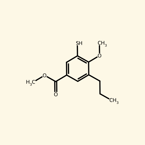 CCCc1cc(C(=O)OC)cc(S)c1OC